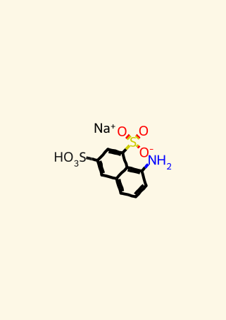 Nc1cccc2cc(S(=O)(=O)O)cc(S(=O)(=O)[O-])c12.[Na+]